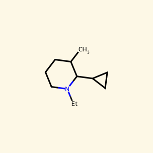 CCN1CCCC(C)C1C1CC1